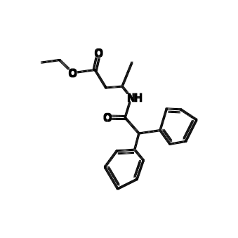 CCOC(=O)CC(C)NC(=O)C(c1ccccc1)c1ccccc1